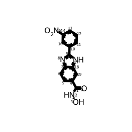 O=C(NO)c1ccc2nc(-c3cccc([N+](=O)[O-])c3)[nH]c2c1